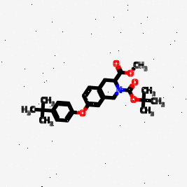 COC(=O)C1Cc2ccc(Oc3ccc(C(C)(C)C)cc3)cc2CN1C(=O)OC(C)(C)C